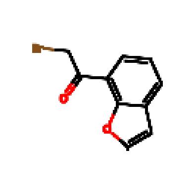 O=C(CBr)c1cccc2c[c]oc12